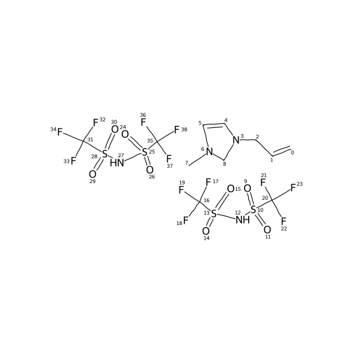 C=CCN1C=CN(C)C1.O=S(=O)(NS(=O)(=O)C(F)(F)F)C(F)(F)F.O=S(=O)(NS(=O)(=O)C(F)(F)F)C(F)(F)F